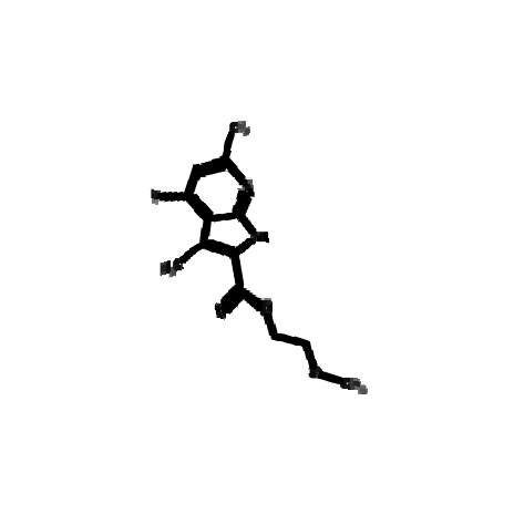 COCCOC(=O)c1[nH]c2nc(C)cc(F)c2c1C